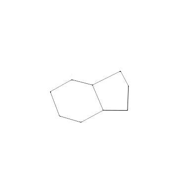 [CH]1C[CH]C2CCCCC12